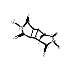 CCN1C(=O)C2C(C1=O)C1C3C(=O)N(C)C(=O)C3C21